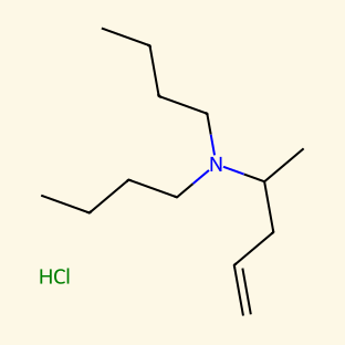 C=CCC(C)N(CCCC)CCCC.Cl